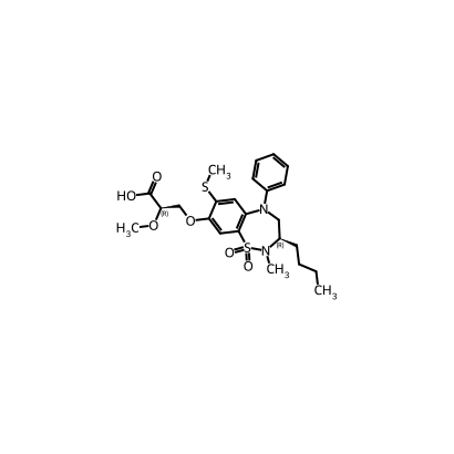 CCCC[C@@H]1CN(c2ccccc2)c2cc(SC)c(OC[C@@H](OC)C(=O)O)cc2S(=O)(=O)N1C